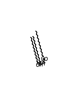 CCCCCCCCCCCCCCCCO.CCCCCCCCCCCCCCCCO.CCCCCCCCCCCCCCCCOC(=O)C(C)O